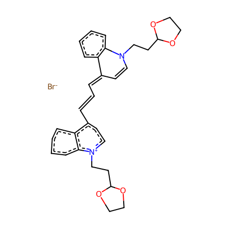 C1=CN(CCC2OCCO2)c2ccccc2/C1=C/C=C/c1cc[n+](CCC2OCCO2)c2ccccc12.[Br-]